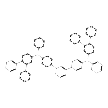 C1=CCCC(N(C2=CCC(C3=CC(c4ccc(N(c5ccccc5)c5ccc(C6=CCCC=C6)c(-c6ccccc6)c5)cc4)CC=C3)C=C2)c2ccc(-c3ccccc3)c(-c3ccccc3)c2)=C1